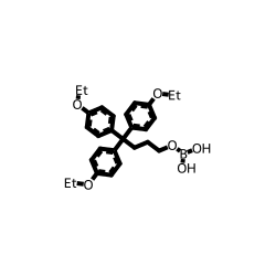 CCOc1ccc(C(CCCOB(O)O)(c2ccc(OCC)cc2)c2ccc(OCC)cc2)cc1